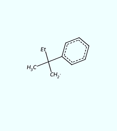 [CH2]C(C)(CC)c1ccccc1